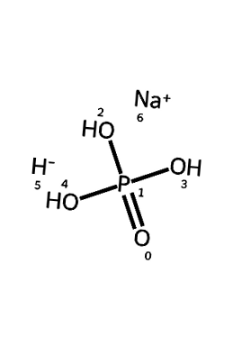 O=P(O)(O)O.[H-].[Na+]